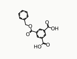 O=C(O)c1cc(C(=O)O)cc(C(=O)OCc2ccccc2)c1